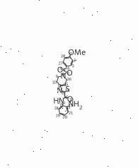 COc1ccc(S(=O)(=O)N2CCc3nc(C(=O)Nc4ccccc4N)sc3C2)cc1